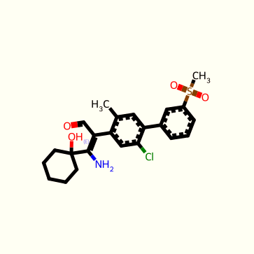 Cc1cc(-c2cccc(S(C)(=O)=O)c2)c(Cl)cc1/C(C=O)=C(\N)C1(O)CCCCC1